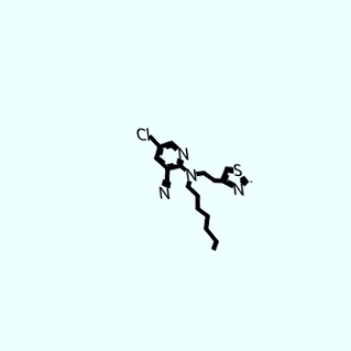 CCCCCCCN(CCc1cs[c]n1)c1ncc(Cl)cc1C#N